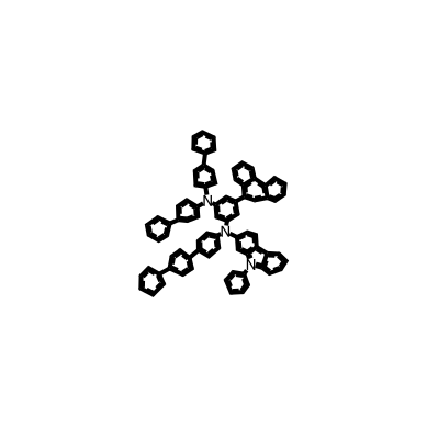 c1ccc(-c2ccc(-c3ccc(N(c4cc(-c5cc6ccccc6c6ccccc56)cc(N(c5ccc(-c6ccccc6)cc5)c5ccc(-c6ccccc6)cc5)c4)c4ccc5c6ccccc6n(-c6ccccc6)c5c4)cc3)cc2)cc1